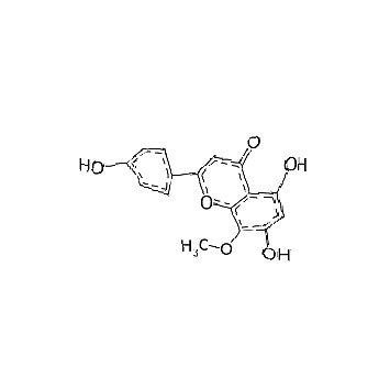 COc1c(O)cc(O)c2c(=O)cc(-c3ccc(O)cc3)oc12